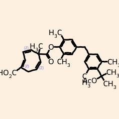 CC(=O)OC(C)(C)c1c(C)cc(Cc2cc(C)c(OC(=O)C3(C)/C=C\C=C(/C(=O)O)C/C=C\3)c(C)c2)cc1C